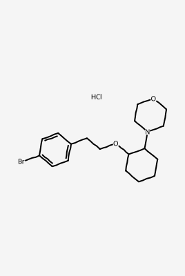 Brc1ccc(CCOC2CCCCC2N2CCOCC2)cc1.Cl